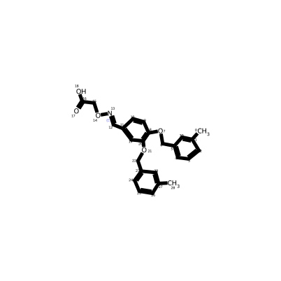 Cc1cccc(COc2ccc(/C=N/OCC(=O)O)cc2OCc2cccc(C)c2)c1